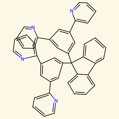 c1ccc(-c2cc(-c3ccccn3)cc(C3(c4cc(-c5ccccn5)cc(-c5ccccn5)c4)c4ccccc4-c4ccccc43)c2)nc1